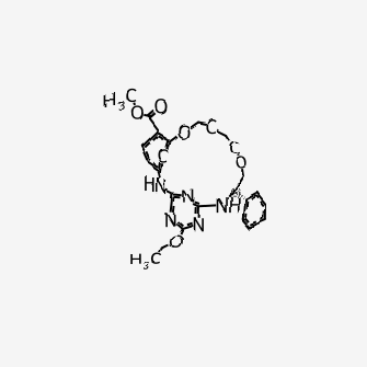 CCOc1nc2nc(n1)N[C@@H](c1ccccc1)COCCCCOc1cc(ccc1C(=O)OC)N2